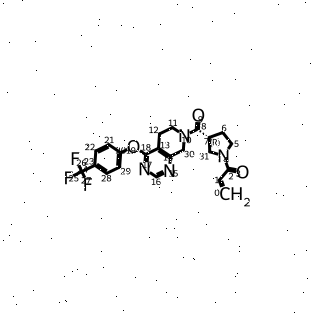 C=CC(=O)N1CC[C@@H](C(=O)N2CCc3c(ncnc3Oc3ccc(C(F)(F)F)cc3)C2)C1